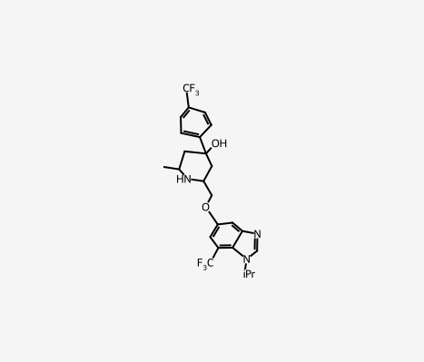 CC1CC(O)(c2ccc(C(F)(F)F)cc2)CC(COc2cc(C(F)(F)F)c3c(c2)ncn3C(C)C)N1